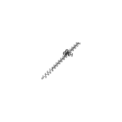 CCCCCCCCC=CCCCCCCCCCCCC(=O)NC(=O)CCCCCCCCC